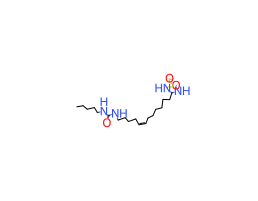 CCCCCNC(=O)NCCCC/C=C\CCCCCCC1NOS(=O)N1